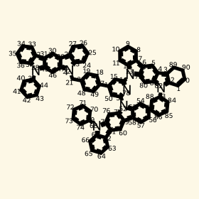 C1=Cc2c(c3cc4c5ccccc5n(-c5cc(-c6ccc(Cn7c8ccccc8c8cc9c%10ccccc%10n(-c%10ccccc%10)c9cc87)cc6)cc(-n6c7ccccc7c7cc8c9ccccc9n(-c9ccccc9)c8cc76)n5)c4cc3n2-c2ccccc2)CC1